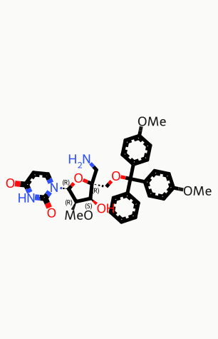 COc1ccc(C(OC[C@@]2(CN)O[C@@H](n3ccc(=O)[nH]c3=O)[C@H](OC)[C@@H]2O)(c2ccccc2)c2ccc(OC)cc2)cc1